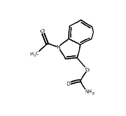 CC(=O)n1cc(OC(N)=O)c2ccccc21